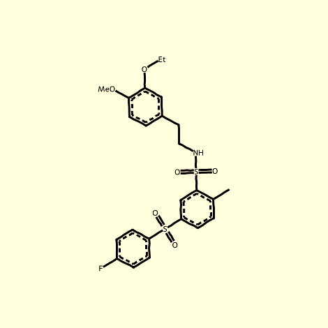 CCOc1cc(CCNS(=O)(=O)c2cc(S(=O)(=O)c3ccc(F)cc3)ccc2C)ccc1OC